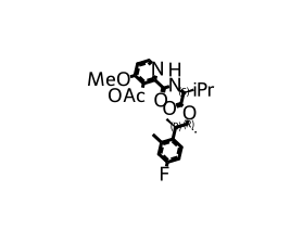 COc1ccnc(C(=O)N[C@H](C(=O)O[C@H](C)[C@H](C)c2ccc(F)cc2C)C(C)C)c1OC(C)=O